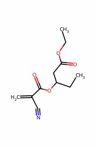 C=C(C#N)C(=O)OC(CC)CC(=O)OCC